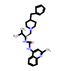 Cc1cc(NC(=O)N[C@H](CN2CCC(Cc3ccccc3)CC2)C(C)C)c2ccccc2n1